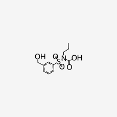 CCCN(C(=O)O)S(=O)(=O)c1cccc(CO)c1